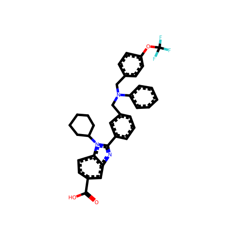 O=C(O)c1ccc2c(c1)nc(-c1cccc(CN(Cc3ccc(OC(F)(F)F)cc3)c3ccccc3)c1)n2C1CCCCC1